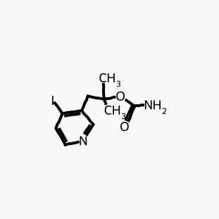 CC(C)(Cc1cnccc1I)OC(N)=O